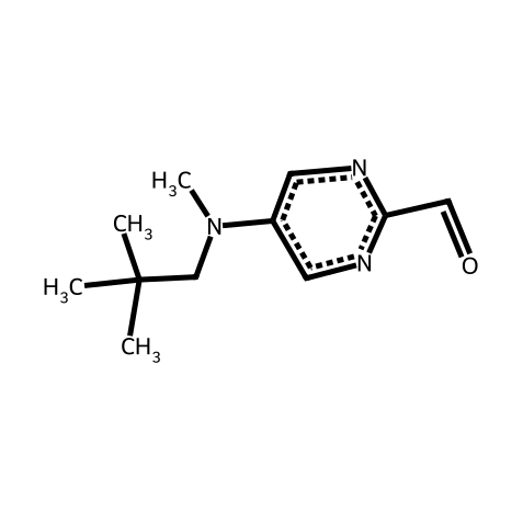 CN(CC(C)(C)C)c1cnc(C=O)nc1